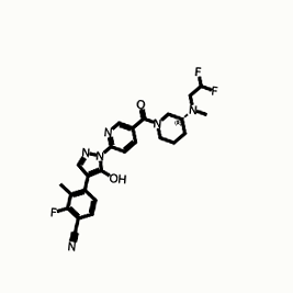 Cc1c(-c2cnn(-c3ccc(C(=O)N4CCC[C@@H](N(C)CC(F)F)C4)cn3)c2O)ccc(C#N)c1F